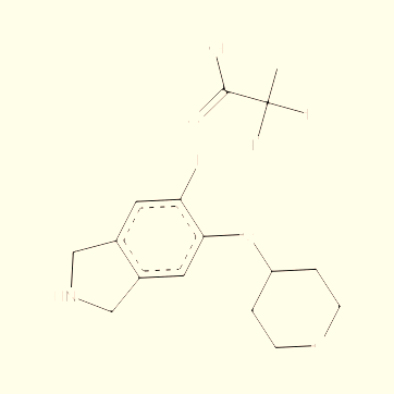 Fc1cc2c(cc1OC1CCOCC1)CNC2.O=C(O)C(F)(F)F